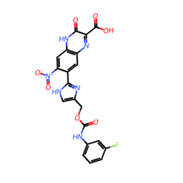 O=C(Nc1cccc(F)c1)OCc1c[nH]c(-c2cc3nc(C(=O)O)c(=O)[nH]c3cc2[N+](=O)[O-])n1